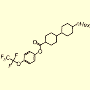 CCCCCCC1CCC(C2CCC(C(=O)Oc3ccc(OC(F)(F)C(F)(F)F)cc3)CC2)CC1